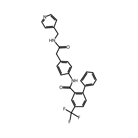 O=C(Cc1ccc(NC(=O)c2cc(C(F)(F)F)ccc2-c2ccccc2)cc1)NCc1ccncc1